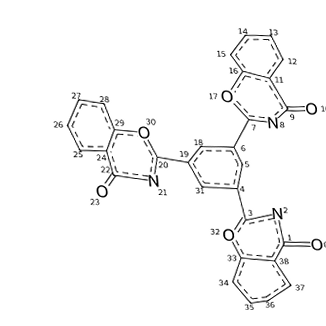 O=c1nc(-c2cc(-c3nc(=O)c4ccccc4o3)cc(-c3nc(=O)c4ccccc4o3)c2)oc2ccccc12